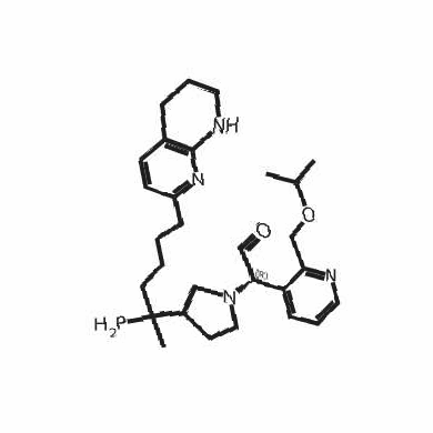 CC(C)OCc1ncccc1[C@H](C=O)N1CCC(C(C)(P)CCCCc2ccc3c(n2)NCCC3)C1